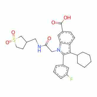 O=C(Cn1c(-c2cccc(F)c2)c(C2CCCCC2)c2ccc(C(=O)O)cc21)NCC1CCS(=O)(=O)C1